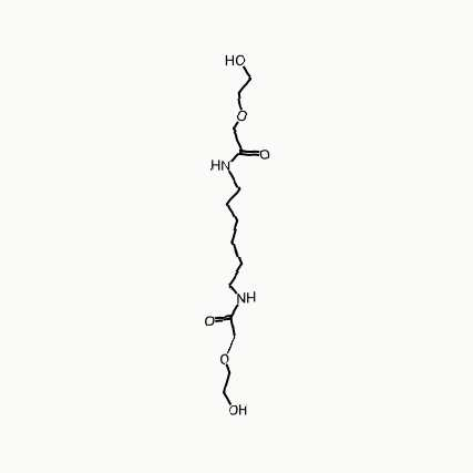 O=C(COCCO)NCCCCCCNC(=O)COCCO